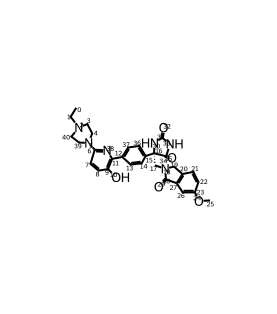 CCN1CCN(c2ccc(O)c(-c3ccc([C@@]4(CN5Cc6ccc(OC)cc6C5=O)NC(=O)NC4=O)cc3)n2)CC1